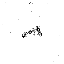 COc1ccc(N2CCOCC2)c2sc(NC(=O)c3ccc(CCN(C)C(=O)OC(C)(C)C)cc3)nc12